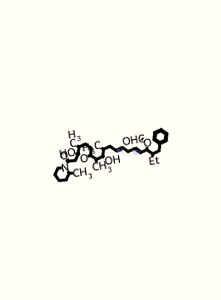 CCC(Cc1ccccc1)C(/C=C/C/C=C/CC(C)C(O)C(C)C1CCC(C)C(O)(CC(=O)N2CCCCC2C)O1)OC=O